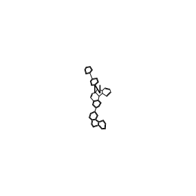 C1=CC2C3c4ccc(-c5ccc6ccc7ccccc7c6c5)cc4C=CC3N(c3ccc(-c4ccccc4)cc3)C2C=C1